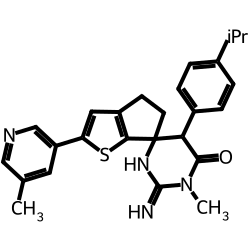 Cc1cncc(-c2cc3c(s2)C2(CC3)NC(=N)N(C)C(=O)C2c2ccc(C(C)C)cc2)c1